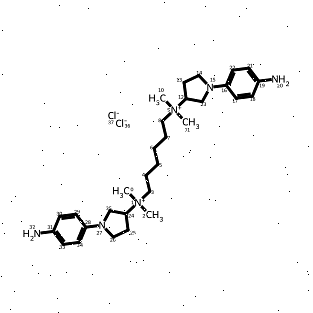 C[N+](C)(CCCCCC[N+](C)(C)C1CCN(c2ccc(N)cc2)C1)C1CCN(c2ccc(N)cc2)C1.[Cl-].[Cl-]